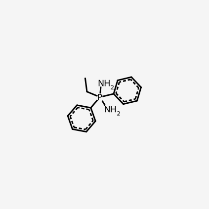 CCP(N)(N)(c1ccccc1)c1ccccc1